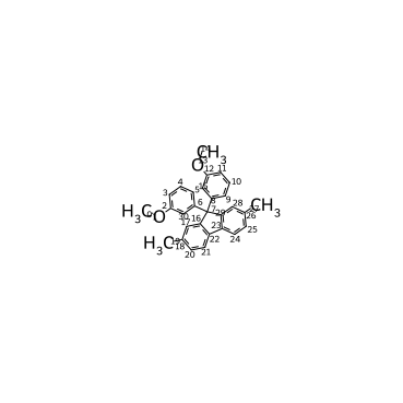 COc1cccc(C2(c3cccc(OC)c3)c3cc(C)ccc3-c3ccc(C)cc32)c1